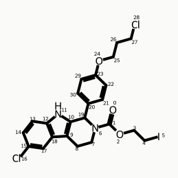 O=C(OCCI)N1CCc2c([nH]c3ccc(Cl)cc23)C1c1ccc(OCCCCl)cc1